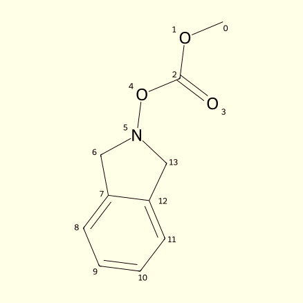 COC(=O)ON1Cc2ccccc2C1